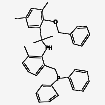 Cc1cc(C)c(OCc2ccccc2)c(C(C)(C)Pc2c(C)cccc2CP(c2ccccc2)c2ccccc2)c1